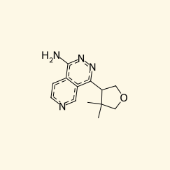 CC1(C)COCC1c1nnc(N)c2ccncc12